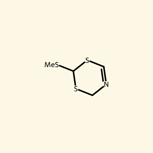 CSC1SC=NCS1